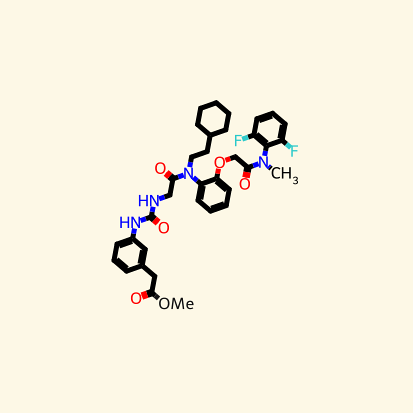 COC(=O)Cc1cccc(NC(=O)NCC(=O)N(CCC2CCCCC2)c2ccccc2OCC(=O)N(C)c2c(F)cccc2F)c1